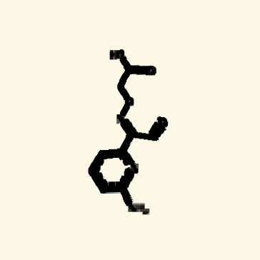 Nc1cccc(C([C]=O)=NOCC(=O)O)n1